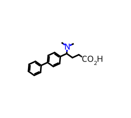 CN(C)C(CCC(=O)O)c1ccc(-c2ccccc2)cc1